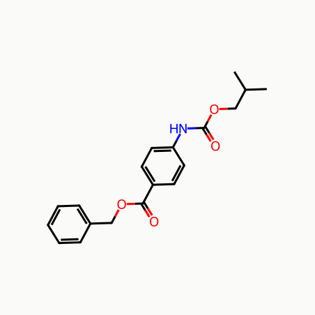 CC(C)COC(=O)Nc1ccc(C(=O)OCc2ccccc2)cc1